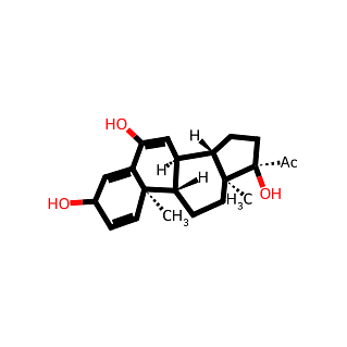 CC(=O)[C@@]1(O)CC[C@H]2[C@@H]3C=C(O)C4=CC(O)C=C[C@]4(C)[C@H]3CC[C@@]21C